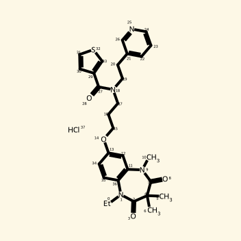 CCN1C(=O)C(C)(C)C(=O)N(C)c2cc(OCCCN(CCc3cccnc3)C(=O)c3ccsc3)ccc21.Cl